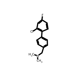 CN(C)Cc1ccc(-c2ccc(F)cc2Cl)cc1